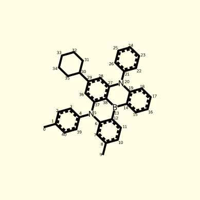 Cc1ccc(N2c3cc(C)ccc3B3c4ccccc4N(c4ccccc4)c4cc(C5CCCCC5)cc2c43)cc1